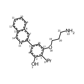 CC(C)c1c(O)cc(-c2cc3ccccc3cn2)cc1OCCCN